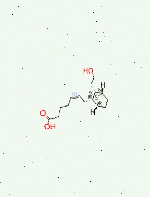 O=C(O)CCC/C=C\C[C@@H]1[C@H](CCO)[C@@H]2CC[C@H]1S2